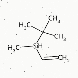 C=C[SiH](C)C(C)(C)C